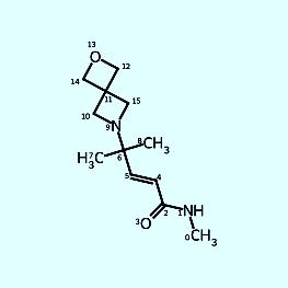 CNC(=O)C=CC(C)(C)N1CC2(COC2)C1